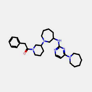 O=C(Cc1ccccc1)N1CCCC(N2CCCCC(Nc3nccc(N4CCCCCC4)n3)C2)C1